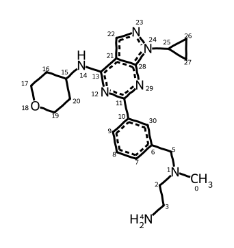 CN(CCN)Cc1cccc(-c2nc(NC3CCOCC3)c3cnn(C4CC4)c3n2)c1